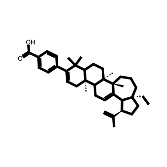 C=C(C)[C@@H]1CC[C@]2(CC)CCC[C@]3(C)C(=CCC4[C@@]5(C)CC=C(c6ccc(C(=O)O)cc6)C(C)(C)C5CC[C@]43C)C12